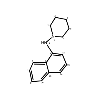 c1ccc2c(NN3CCCCC3)cccc2c1